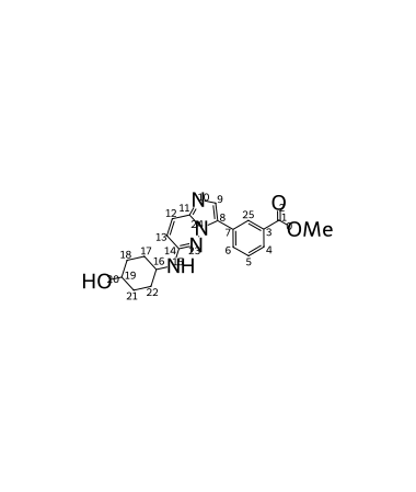 COC(=O)c1cccc(-c2cnc3ccc(NC4CCC(O)CC4)nn23)c1